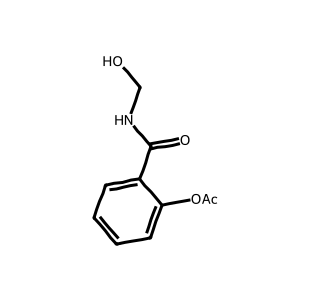 CC(=O)Oc1ccccc1C(=O)NCO